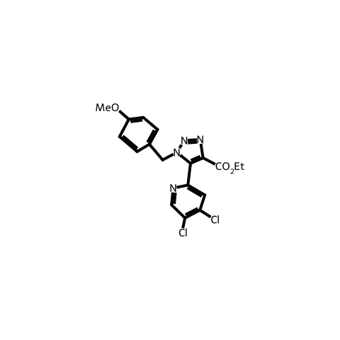 CCOC(=O)c1nnn(Cc2ccc(OC)cc2)c1-c1cc(Cl)c(Cl)cn1